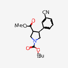 COC(=O)C1CN(C(=O)OC(C)(C)C)CC1c1cccc(C#N)c1